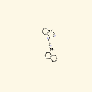 C\C=C/C(=C\C=C\Nc1cccc2ccccc12)c1ccccc1